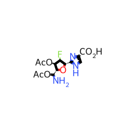 CC(=O)OC(N)[C@H]1O[C@@H](c2nc(C(=O)O)c[nH]2)[C@H](F)[C@@H]1OC(C)=O